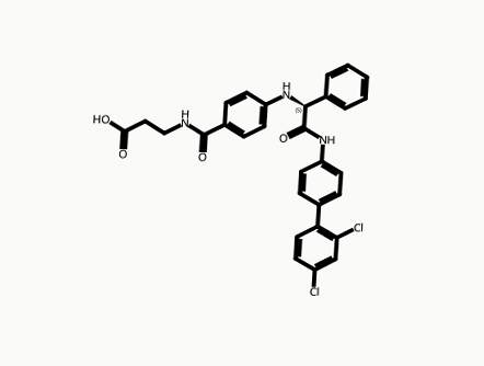 O=C(O)CCNC(=O)c1ccc(N[C@H](C(=O)Nc2ccc(-c3ccc(Cl)cc3Cl)cc2)c2ccccc2)cc1